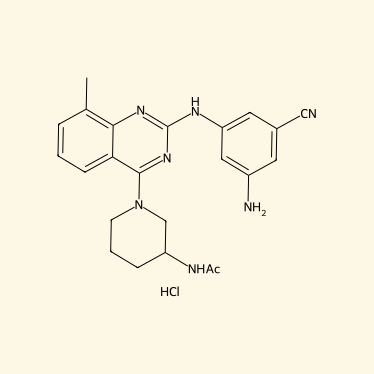 CC(=O)NC1CCCN(c2nc(Nc3cc(N)cc(C#N)c3)nc3c(C)cccc23)C1.Cl